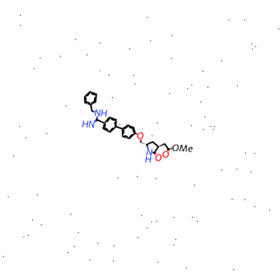 COC(=O)C[C@@H]1C[C@@H](COc2ccc(-c3ccc(C(=N)NCc4ccccc4)cc3)cc2)NC1=O